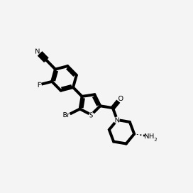 N#Cc1ccc(-c2cc(C(=O)N3CCC[C@@H](N)C3)sc2Br)cc1F